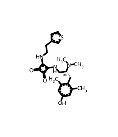 Cc1cc(O)cc(C)c1C[C@H](CNc1c(NCCc2ccsc2)c(=O)c1=O)N(C)C